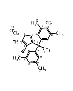 CCC(C)C1=[C]([Ti+3])CC=C1[Si](C)(c1cc(C)cc(C)c1)c1cc(C)cc(C)c1.[Cl-].[Cl-].[Cl-]